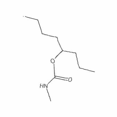 [CH2]CCCC(CCC)OC(=O)NC